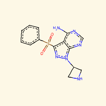 Nc1ncnc2c1c(S(=O)(=O)c1ccccc1)nn2C1CNC1